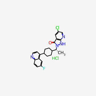 C[C@H](C1CCC(c2ccnc3ccc(F)cc23)CC1)n1[nH]c2ncc(Cl)cc2c1=O.Cl